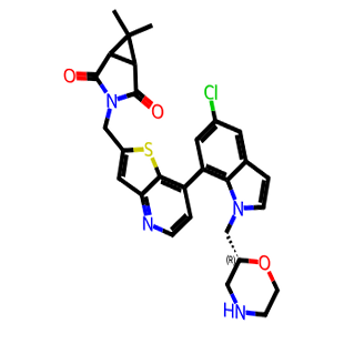 CC1(C)C2C(=O)N(Cc3cc4nccc(-c5cc(Cl)cc6ccn(C[C@H]7CNCCO7)c56)c4s3)C(=O)C21